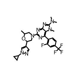 CC1CN(c2nc(-c3ccc(C(F)(F)F)cc3F)c3c(n2)nc(N(C)C)n3C)CC(c2cnn(C3CC3)c2)O1